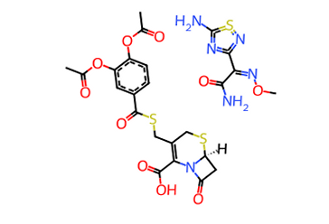 CC(=O)Oc1ccc(C(=O)SCC2=C(C(=O)O)N3C(=O)C[C@@H]3SC2)cc1OC(C)=O.CON=C(C(N)=O)c1nsc(N)n1